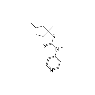 CCCC(C)(CC)SC(=S)N(C)c1ccncc1